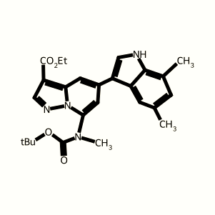 CCOC(=O)c1cnn2c(N(C)C(=O)OC(C)(C)C)cc(-c3c[nH]c4c(C)cc(C)cc34)cc12